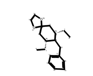 CC[C@@H]1CC2(C[C@H](CC)C1Cc1ccccc1)OCCO2